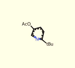 CC(=O)Oc1ccc(C(C)(C)C)nc1